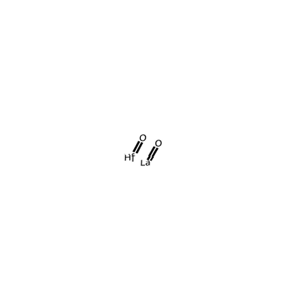 [O]=[Hf].[O]=[La]